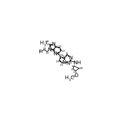 CO[C@H]1C[C@H](Nc2ncc3c(-c4ccc5nc(C)n(CCF)c5n4)ccn3n2)C1